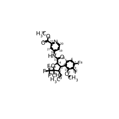 CCC1C(c2ccc(F)c(F)c2OC)C(C(=O)Nc2ccnc(C(=O)OC)c2)OC1(C)C(F)(F)F